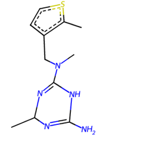 Cc1sccc1CN(C)C1=NC(C)N=C(N)N1